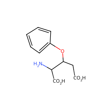 NC(C(=O)O)C(CC(=O)O)Oc1ccccc1